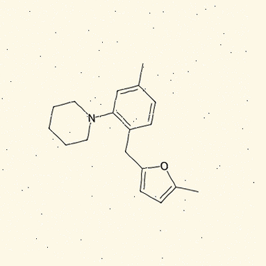 Cc1ccc(Cc2ccc(C)o2)c(N2CCCCC2)c1